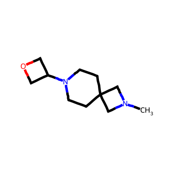 CN1CC2(CCN(C3COC3)CC2)C1